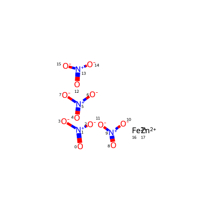 O=[N+]([O-])[O-].O=[N+]([O-])[O-].O=[N+]([O-])[O-].O=[N+]([O-])[O-].[Fe+2].[Zn+2]